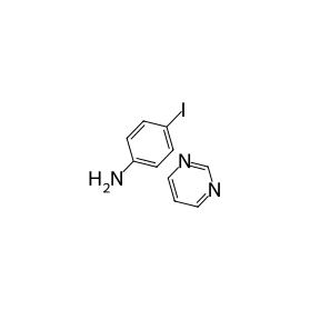 Nc1ccc(I)cc1.c1cncnc1